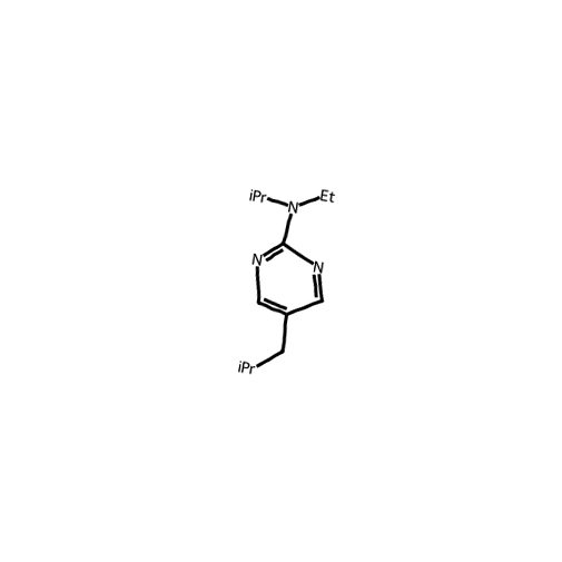 CCN(c1ncc(CC(C)C)cn1)C(C)C